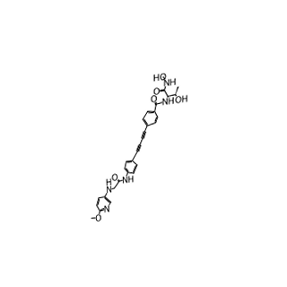 COc1ccc(NCC(=O)Nc2ccc(C#CC#Cc3ccc(C(=O)N[C@H](C(=O)NO)[C@@H](C)O)cc3)cc2)cn1